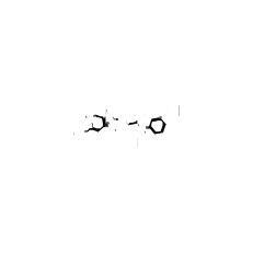 O=C(CSc1nc2cnc(Cl)cc2[nH]1)Nc1cccc(O)c1